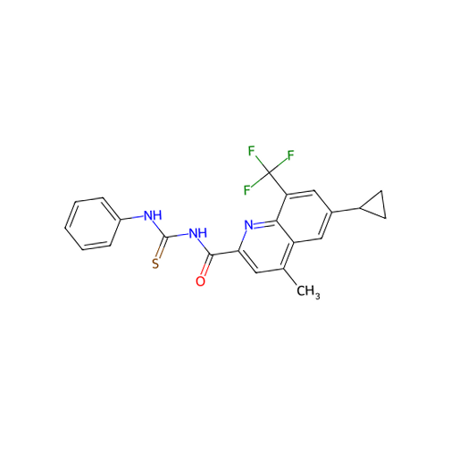 Cc1cc(C(=O)NC(=S)Nc2ccccc2)nc2c(C(F)(F)F)cc(C3CC3)cc12